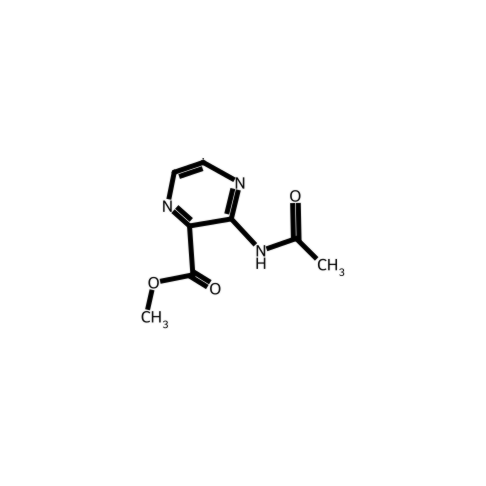 COC(=O)c1nc[c]nc1NC(C)=O